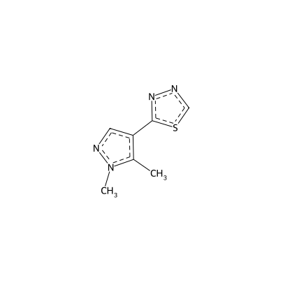 Cc1c(-c2nncs2)cnn1C